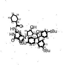 CC(C)(C)c1ccc(C(c2ccc(C(C)(C)C)cc2)(c2ccc(C(C)(C)C)cc2)C(O)[C@H]2O[C@@H](n3cnc4c(=O)[nH]c(NC(=O)C5CCCCC5)nc43)C[C@@H]2O)cc1